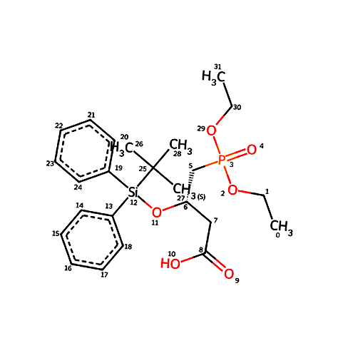 CCOP(=O)(C[C@H](CC(=O)O)O[Si](c1ccccc1)(c1ccccc1)C(C)(C)C)OCC